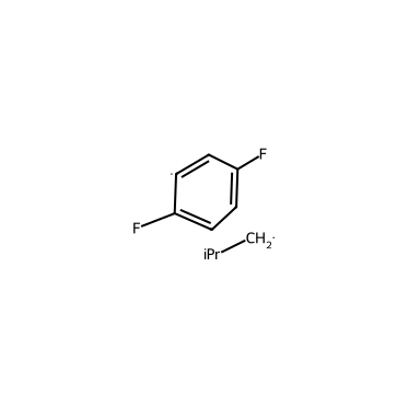 Fc1[c]cc(F)cc1.[CH2]C(C)C